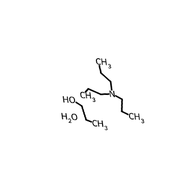 CCCN(CCC)CCC.CCCO.O